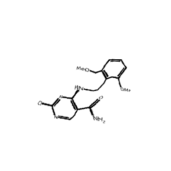 COc1cccc(OC)c1CNc1nc(Cl)ncc1C(N)=O